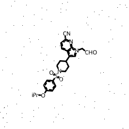 CC(C)Oc1ccc(S(=O)(=O)N2CCC(c3cn(CC=O)c4nc(C#N)ccc34)CC2)cc1